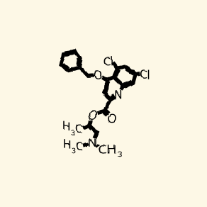 CC(CN(C)C)OC(=O)c1cc(OCc2ccccc2)c2c(Cl)cc(Cl)cc2n1